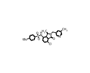 C=C1c2c(NS(=O)(=O)c3ccc(C(C)(C)C)cc3)ccc(Cl)c2C(=O)N1Cc1cncc(C)c1